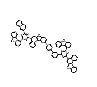 c1cc(-c2ccc(-c3ccc4oc5cc(-c6nc(-c7ccc8ccccc8c7)nc(-c7cccc8oc9ccccc9c78)n6)c6ccccc6c5c4c3)cc2)cc(-c2nc(-c3cc4oc5ccccc5c4c4ccccc34)nc(-c3cccc4oc5ccccc5c34)n2)c1